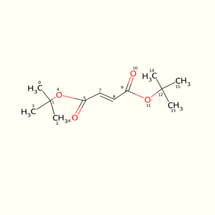 CC(C)(C)OC(=O)/C=C/C(=O)OC(C)(C)C